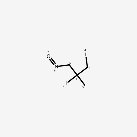 CC(I)(CI)CN=O